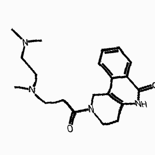 CN(C)CCN(C)CCC(=O)N1CCc2[nH]c(=O)c3ccccc3c2C1